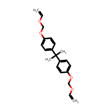 C=COCOc1ccc(C(C)(C)c2ccc(OCOC=C)cc2)cc1